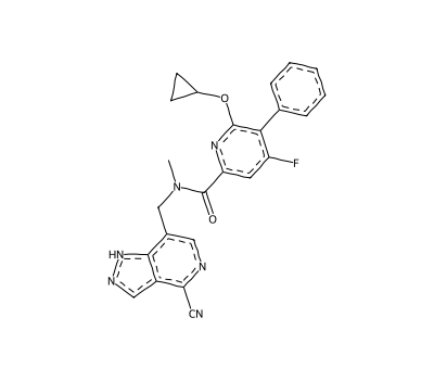 CN(Cc1cnc(C#N)c2cn[nH]c12)C(=O)c1cc(F)c(-c2ccccc2)c(OC2CC2)n1